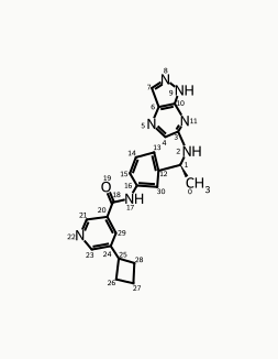 C[C@H](Nc1cnc2cn[nH]c2n1)c1cccc(NC(=O)c2cncc(C3CCC3)c2)c1